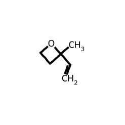 C=CC1(C)CCO1